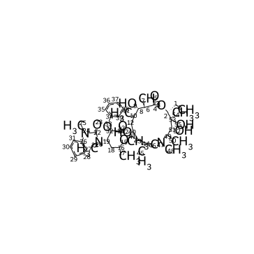 CC[C@H]1OC(=O)[C@H](C)[C@@H](O)[C@H](C)[C@@H](O[C@@H]2O[C@H](C)C[C@H](N(C)C(=O)N(C)c3ccccc3)[C@H]2Oc2ccccc2)[C@](C)(O)C[C@@H](C)CN(C)[C@H](C)[C@@H](O)[C@]1(C)O